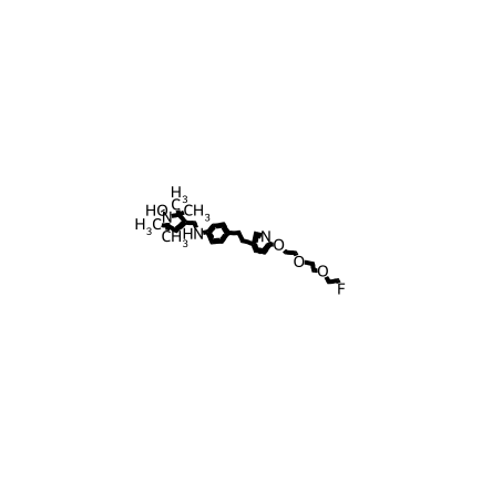 CC1(C)C=C(CNc2ccc(CCc3ccc(OCCOCCOCCF)nc3)cc2)C(C)(C)N1O